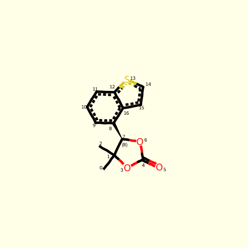 CC1(C)OC(=O)O[C@@H]1c1cccc2sccc12